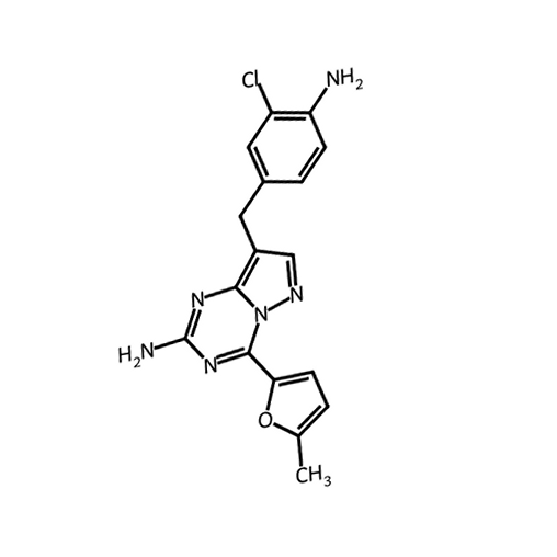 Cc1ccc(-c2nc(N)nc3c(Cc4ccc(N)c(Cl)c4)cnn23)o1